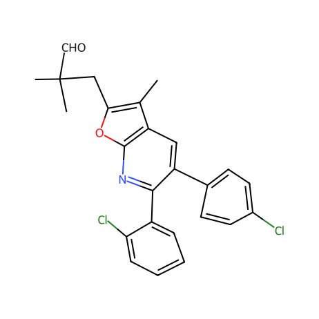 Cc1c(CC(C)(C)C=O)oc2nc(-c3ccccc3Cl)c(-c3ccc(Cl)cc3)cc12